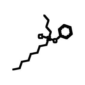 CCCCCCCC[Si](Cl)(CCCC)Oc1ccccc1